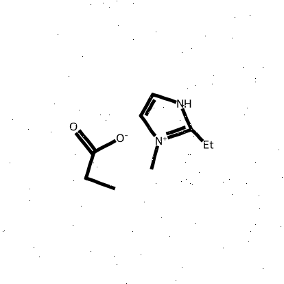 CCC(=O)[O-].CCc1[nH]cc[n+]1C